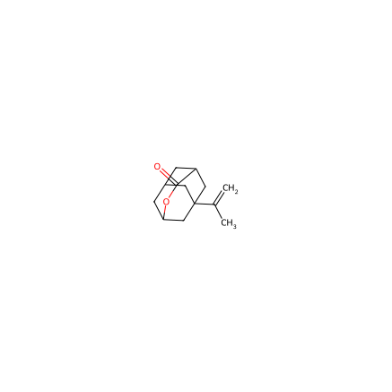 C=C(C)C12CC3CC(C1)OC(=O)C(C3)C2